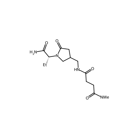 CC[C@H](C(N)=O)N1CC(CNC(=O)CCC(=O)NC)CC1=O